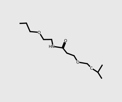 CCCOCCNC(=O)CCOCCC(C)C